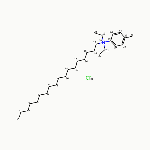 CCCCCCCCCCCCCCCCCC[N+](CC)(CC)c1ccc(C)cc1.[Cl-]